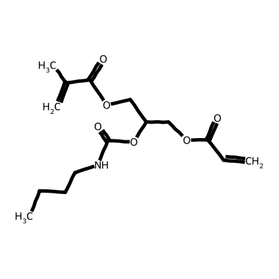 C=CC(=O)OCC(COC(=O)C(=C)C)OC(=O)NCCCC